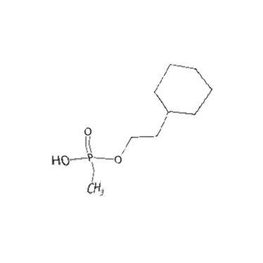 CP(=O)(O)OCCC1CCCCC1